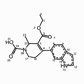 CCOC(=O)C1=C(c2ccc3cc[nH]c3c2)CCN(C(=O)O)C1C